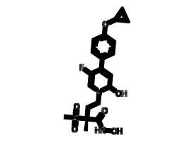 C[C@@](CCN1C=C(F)C(c2ccc(OC3CC3)cc2)=CC1O)(C(=O)NO)S(C)(=O)=O